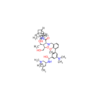 COc1c(CN2O[C@@H](CO)[C@@H]([C@H](C)O)[C@H]2C(=O)N[C@H]2C[C@H]3C[C@@H]([C@@H]2C)C3(C)C)cccc1-c1cc(C(O)N[C@@H](CC(C)C)CN(C)C)cc(N(C)C)c1